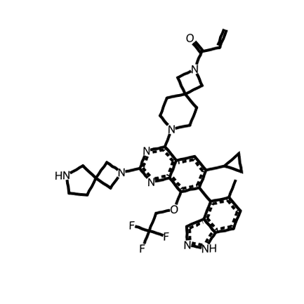 C=CC(=O)N1CC2(CCN(c3nc(N4CC5(CCNC5)C4)nc4c(OCC(F)(F)F)c(-c5c(C)ccc6[nH]ncc56)c(C5CC5)cc34)CC2)C1